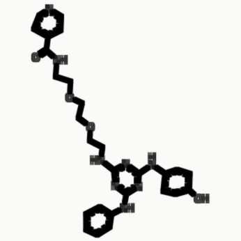 O=C(NCCOCCOCCNc1nc(Nc2ccccc2)nc(Nc2ccc(O)cc2)n1)c1ccncc1